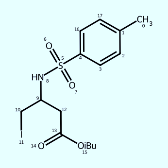 Cc1ccc(S(=O)(=O)NC(CI)CC(=O)OCC(C)C)cc1